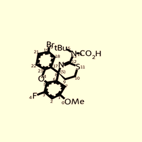 COc1cc(F)c2c(c1)[C@]1(CCSC(N(C(=O)O)C(C)(C)C)=N1)c1cc(Br)ccc1O2